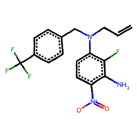 C=CCN(Cc1ccc(C(F)(F)F)cc1)c1ccc([N+](=O)[O-])c(N)c1F